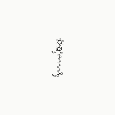 COC(=O)CSCCCCCOCCc1nc(-c2ccccc2)oc1C